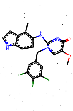 COc1cn(Cc2cc(F)c(F)c(F)c2)c(Nc2ccc3[nH]ccc3c2C)nc1=O